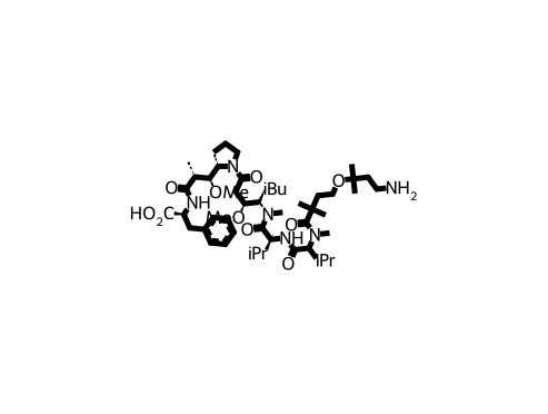 CC[C@H](C)[C@@H]([C@@H](CC(=O)N1CCC[C@H]1[C@H](OC)[C@@H](C)C(=O)N[C@@H](Cc1ccccc1)C(=O)O)OC)N(C)C(=O)[C@@H](NC(=O)C(C(C)C)N(C)C(=O)C(C)(C)CCOC(C)(C)CCN)C(C)C